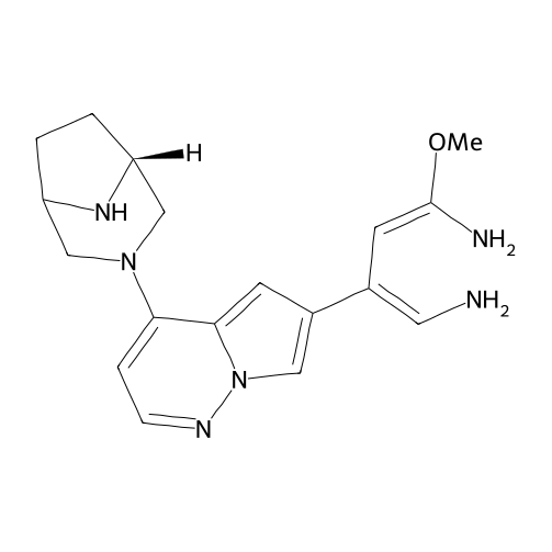 CO/C(N)=C/C(=C\N)c1cc2c(N3CC4CC[C@H](C3)N4)ccnn2c1